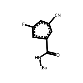 CC(C)(C)NC(=O)c1cc(F)cc(C#N)c1